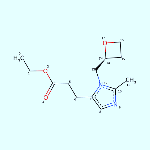 CCOC(=O)CCc1cnc(C)n1C[C@@H]1CCO1